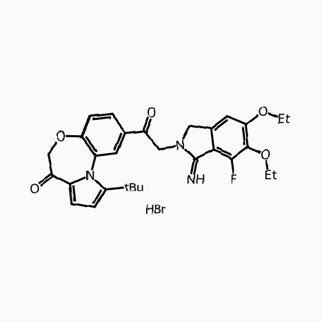 Br.CCOc1cc2c(c(F)c1OCC)C(=N)N(CC(=O)c1ccc3c(c1)-n1c(ccc1C(C)(C)C)C(=O)CO3)C2